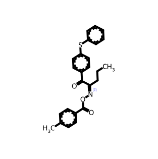 CCC/C(=N/OC(=O)c1ccc(C)cc1)C(=O)c1ccc(Sc2ccccc2)cc1